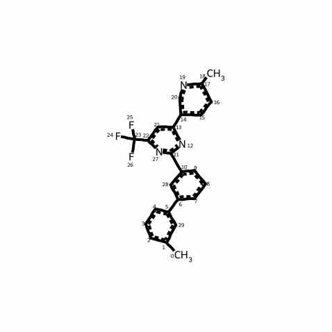 Cc1cccc(-c2cccc(-c3nc(-c4ccc(C)nc4)cc(C(F)(F)F)n3)c2)c1